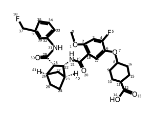 COc1cc(F)c(OC2CCC(C(=O)O)CC2)cc1C(=O)N[C@@H]1[C@H]2CC[C@H](C2)[C@@H]1C(=O)Nc1cccc(CF)c1